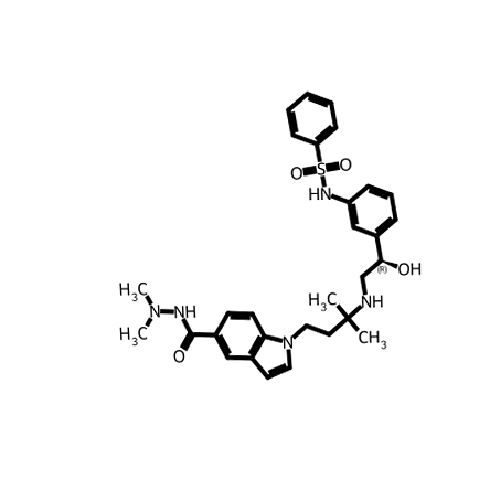 CN(C)NC(=O)c1ccc2c(ccn2CCC(C)(C)NC[C@H](O)c2cccc(NS(=O)(=O)c3ccccc3)c2)c1